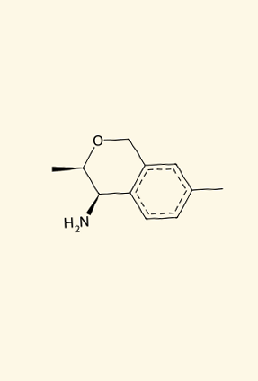 Cc1ccc2c(c1)CO[C@H](C)[C@@H]2N